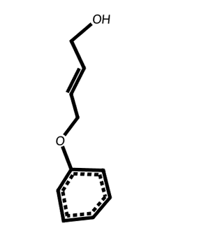 OCC=CCOc1ccccc1